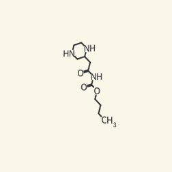 CCCCOC(=O)NC(=O)CC1CNCCN1